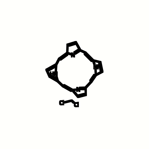 C1=Cc2cc3ccc(cc4nc(cc5ccc(cc1n2)[nH]5)C=C4)[nH]3.ClCCl